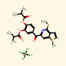 CSc1nc(C(=O)c2ccc(OC(=O)C(C)C)c(OC(=O)C(C)C)c2)cc2c1cc[s+]2C.F[B-](F)(F)F